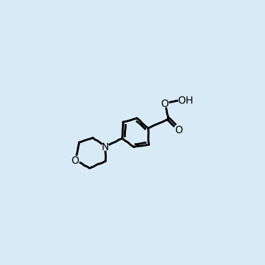 O=C(OO)c1ccc(N2CCOCC2)cc1